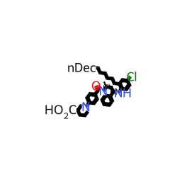 CCCCCCCCCCCCCCCCc1cc(Cl)ccc1N[C@@H]1C[C@H](C)N(C(=O)c2ccc(N3CCCC(C(=O)O)C3)cc2)c2ccccc21